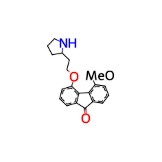 COc1cccc2c1-c1c(OCCC3CCCN3)cccc1C2=O